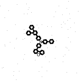 c1ccc(-c2ccc(N(c3ccc(-c4ccc(-c5ccccc5)c(-c5ccccc5)c4)cc3)c3ccc(-c4cccc5oc6ccccc6c45)cc3)cc2)cc1